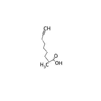 C#CCCCCCC(C)C(=O)O